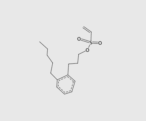 C=CS(=O)(=O)OCCCc1ccccc1CCCCC